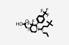 CCC[C@@H](CCC(C)(C)C)N1CC[C@@H](CC(=O)O)C(F)(F)[C@H]1c1ccc(C(F)(F)F)cc1